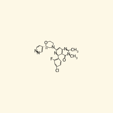 Cc1nc2cc(N3CCO[C@@H](c4ccnnc4)C3)nc(-c3ccc(Cl)cc3F)c2c(=O)n1C